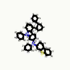 c1ccc(-c2ccccc2-c2cccc3c2c2ccc(N(c4ccccc4)c4ccc5c(c4)sc4ccccc45)cc2n3-c2ccccc2)cc1